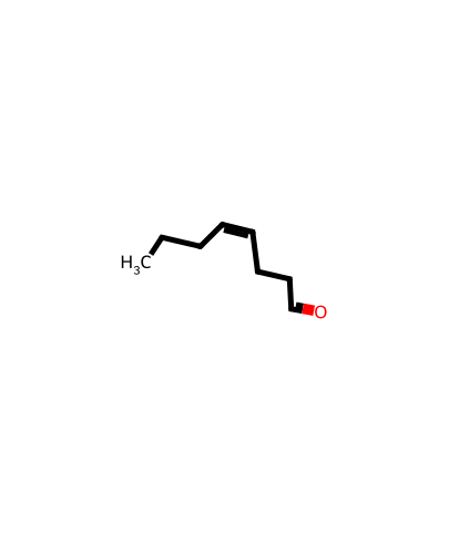 CCC/C=C\CCC=O